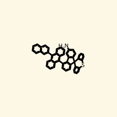 Nc1ccc2c(c1)-c1c(-c3c4ccccc4c(-c4ccc5ccccc5c4)c4ccccc34)cccc1C21c2ccccc2Sc2ccccc21